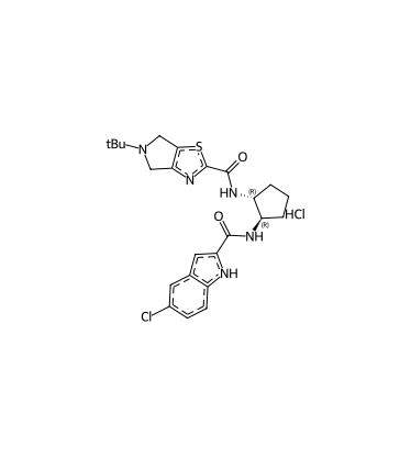 CC(C)(C)N1Cc2nc(C(=O)N[C@@H]3CCC[C@H]3NC(=O)c3cc4cc(Cl)ccc4[nH]3)sc2C1.Cl